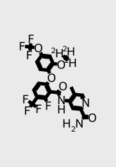 [2H]C([2H])([2H])Oc1cc(OC(F)(F)F)ccc1Oc1ccc(C(F)(F)F)c(F)c1C(=O)Nc1cc(C(N)=O)ncc1C